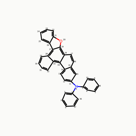 c1ccc(N(c2ccccc2)c2ccc3c(ccc4c5oc6ccccc6c5c5ccccc5c34)c2)cc1